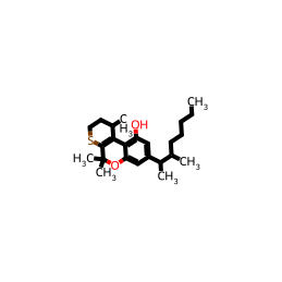 CCCCCC(C)C(C)c1cc(O)c2c(c1)OC(C)(C)C1=C2C(C)CCS1